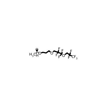 C[PH](=O)OCCCOCC(F)(F)C(F)(F)OCC(F)(F)C(F)(F)F